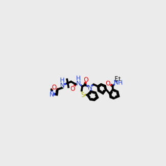 CCNC(=O)c1ccccc1-c1ccc(CN2C(=O)C(NC(=O)CC(C)(C)NCc3cnco3)CSc3ccccc32)cc1